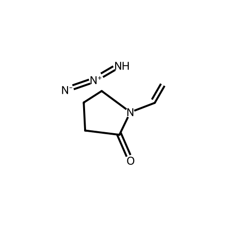 C=CN1CCCC1=O.[N-]=[N+]=N